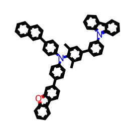 Cc1cc(-c2cccc(-n3c4ccccc4c4ccccc43)c2)cc(C)c1N(c1ccc(-c2ccc3ccccc3c2)cc1)c1ccc(-c2ccc3c(c2)oc2ccccc23)cc1